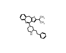 CC(C)c1cc2c(s1)Cc1ccccc1N=C2N1CCNC(CCc2ccccc2)C1